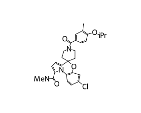 CNC(=O)c1ccc2n1-c1ccc(Cl)cc1OC21CCN(C(=O)c2ccc(OC(C)C)c(C)c2)CC1